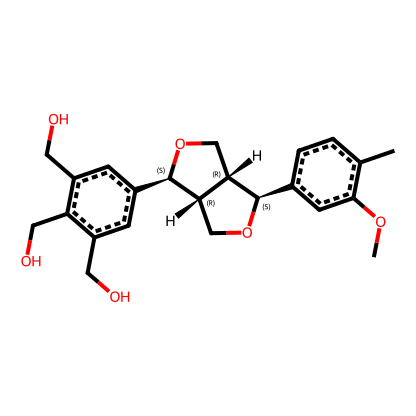 COc1cc([C@H]2OC[C@H]3[C@@H]2CO[C@@H]3c2cc(CO)c(CO)c(CO)c2)ccc1C